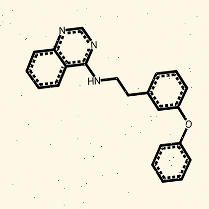 c1ccc(Oc2cccc(CCNc3ncnc4ccccc34)c2)cc1